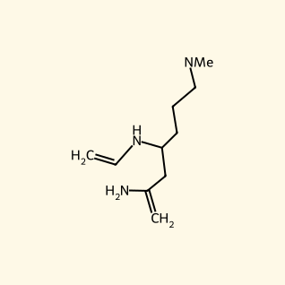 C=CNC(CCCNC)CC(=C)N